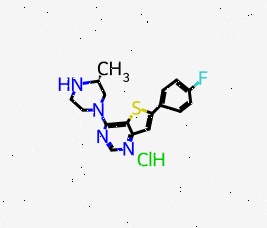 C[C@@H]1CN(c2ncnc3cc(-c4ccc(F)cc4)sc23)CCN1.Cl